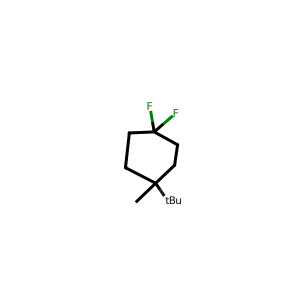 CC(C)(C)C1(C)CCC(F)(F)CC1